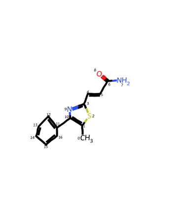 Cc1sc(C=CC(N)=O)nc1-c1ccccc1